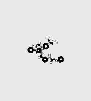 CCN(CC)c1ccc(NC2(NC(C)=O)C(=O)N(c3ccccc3)N=C2NC(=O)c2cccc(NC(=O)COc3ccccc3)c2)cc1